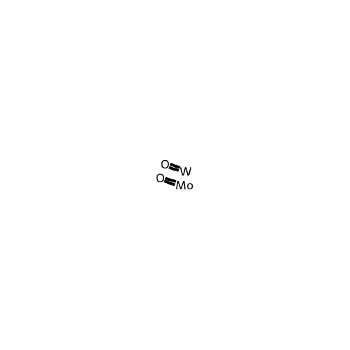 [O]=[Mo].[O]=[W]